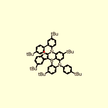 CC(C)(C)c1ccc(-c2cc(C(C)(C)C)ccc2N2c3cc(C(C)(C)C)cc4c3B(c3cc(C(C)(C)C)ccc3N4c3ccc(C(C)(C)C)cc3)c3c2sc2ccc(C(C)(C)C)cc32)cc1